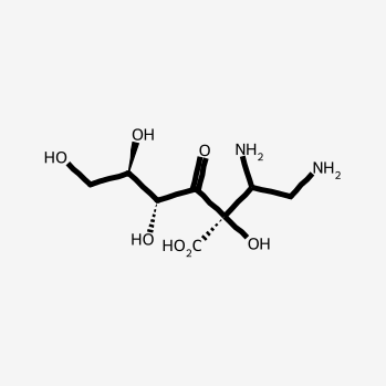 NCC(N)[C@](O)(C(=O)O)C(=O)[C@H](O)[C@H](O)CO